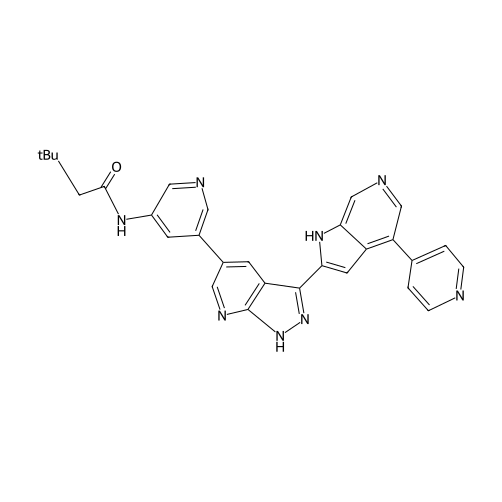 CC(C)(C)CC(=O)Nc1cncc(-c2cnc3[nH]nc(-c4cc5c(-c6ccncc6)cncc5[nH]4)c3c2)c1